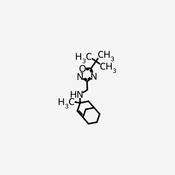 CC1(NCc2noc(C(C)(C)C)n2)C=C2CCCC(C2)C1